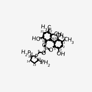 Cc1cc(O)c2op(OCP3[C@@H](P)CC[C@@H]3P)oc3c(O)cc(C)c(C)c3c2c1C